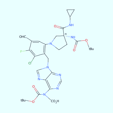 CC(C)(C)OC(=O)N[C@]1(C(=O)NC2CC2)CCN(c2cc(C=O)c(F)c(Cl)c2Cn2cnc3c(N(C(=O)O)C(=O)OC(C)(C)C)ncnc32)C1